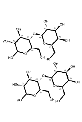 OC[C@H]1O[C@@H](O[C@H]2[C@H](O)[C@@H](O)C(O)O[C@@H]2CO)[C@H](O)[C@@H](O)[C@H]1O.OC[C@H]1O[C@@H](O[C@H]2[C@H](O)[C@@H](O)C(O)O[C@@H]2CO)[C@H](O)[C@@H](O)[C@H]1O